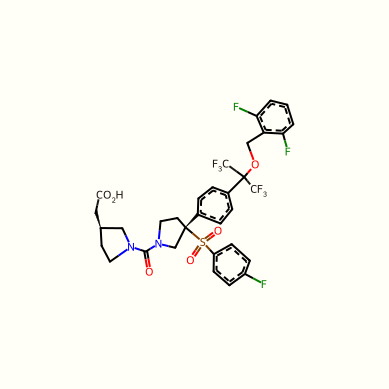 O=C(O)C[C@@H]1CCN(C(=O)N2CC[C@](c3ccc(C(OCc4c(F)cccc4F)(C(F)(F)F)C(F)(F)F)cc3)(S(=O)(=O)c3ccc(F)cc3)C2)C1